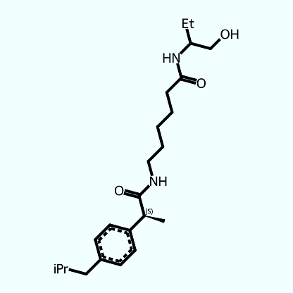 CCC(CO)NC(=O)CCCCCNC(=O)[C@@H](C)c1ccc(CC(C)C)cc1